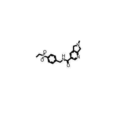 CCS(=O)(=O)c1ccc(CNC(=O)c2cnc3c(c2)CN(C)C3)cc1